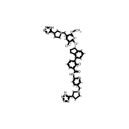 COc1nc(O[C@H]2CCc3c(-c4cccc(C(=O)Nc5ccc(CN6CCC(c7nnn[nH]7)C6)cn5)c4Cl)cccc32)c(Cl)cc1CN1CCC(c2nnn[nH]2)C1